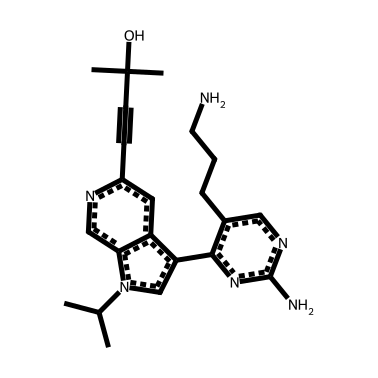 CC(C)n1cc(-c2nc(N)ncc2CCCN)c2cc(C#CC(C)(C)O)ncc21